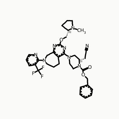 CN1CCC[C@H]1COc1nc2c(c(N3CCN(C(=O)OCc4ccccc4)[C@@H](CC#N)C3)n1)CCCN(c1ncccc1C(F)(F)F)C2